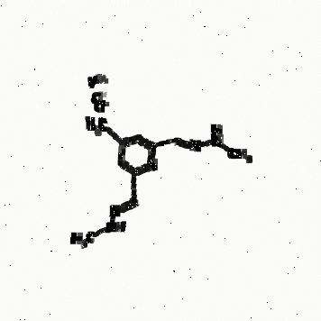 CNN=Cc1cc(C)cc(C=NNC)n1.[Cl-].[Cl-].[V+2]